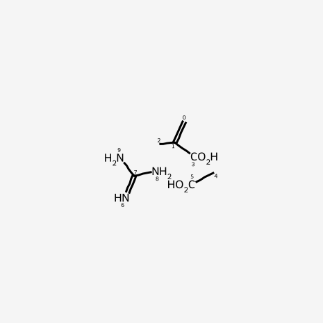 C=C(C)C(=O)O.CC(=O)O.N=C(N)N